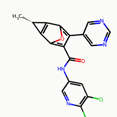 C[C@H]1c2c1c1oc2c(C(=O)Nc2cnc(Cl)c(Cl)c2)c1-c1cncnc1